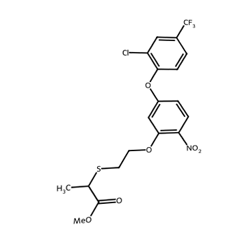 COC(=O)C(C)SCCOc1cc(Oc2ccc(C(F)(F)F)cc2Cl)ccc1[N+](=O)[O-]